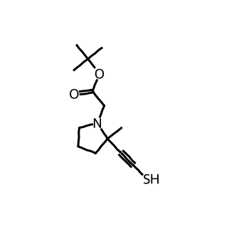 CC(C)(C)OC(=O)CN1CCCC1(C)C#CS